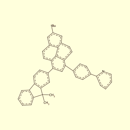 CC(C)(C)c1cc2ccc3c(-c4ccc(-c5ccccn5)cc4)cc(-c4ccc5c(c4)C(C)(C)c4ccccc4-5)c4ccc(c1)c2c34